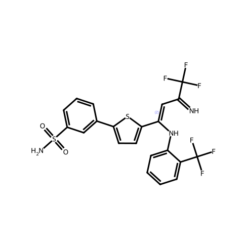 N=C(/C=C(\Nc1ccccc1C(F)(F)F)c1ccc(-c2cccc(S(N)(=O)=O)c2)s1)C(F)(F)F